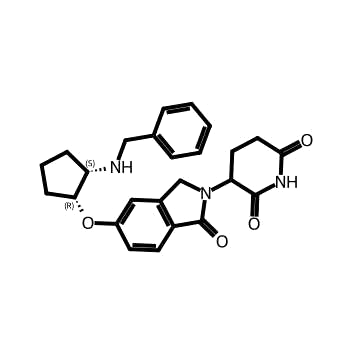 O=C1CCC(N2Cc3cc(O[C@@H]4CCC[C@@H]4NCc4ccccc4)ccc3C2=O)C(=O)N1